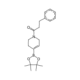 CC1(C)OB(C2=CCN(C(=O)CCc3ccccc3)CC2)OC1(C)C